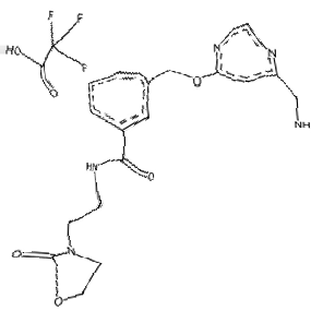 NCc1cc(OCc2cccc(C(=O)NCCN3CCOC3=O)c2)ncn1.O=C(O)C(F)(F)F